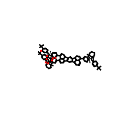 CC(C)(C)c1ccc(N2c3ccc(-c4ccc5c6cc7c(cc6c6cccc4c65)c4ccc(-c5ccc6c(c5)C5(C)CCCCC5(C)N6c5ccc(C(C)(C)C)cc5)c5c(-c6ccc8c(c6)C6(C)CCCCC6(C)N8c6ccc(C(C)(C)C)cc6)ccc7c54)cc3C3(C)CCCCC23C)cc1